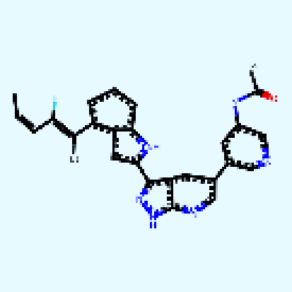 C/C=C\C(F)=C(/CC)c1cccc2[nH]c(-c3n[nH]c4ncc(-c5cncc(NC(=O)C(C)C)c5)cc34)cc12